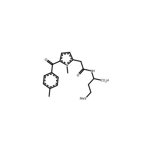 CSCCC(NC(=O)Cc1ccc(C(=O)c2ccc(C)cc2)n1C)C(=O)O